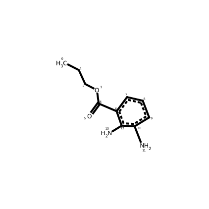 CCCOC(=O)c1cccc(N)c1N